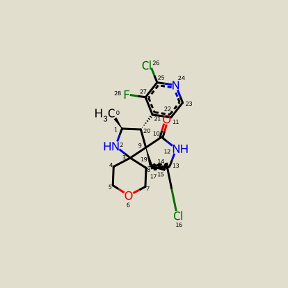 C[C@@H]1NC2(CCOCC2)[C@@]2(C(=O)Nc3cc(Cl)ccc32)[C@H]1c1ccnc(Cl)c1F